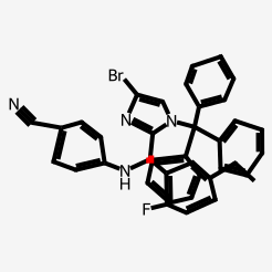 CCc1ccc(F)c(C(Nc2ccc(C#N)cc2)c2nc(Br)cn2C(c2ccccc2)(c2ccccc2)c2ccccc2)c1